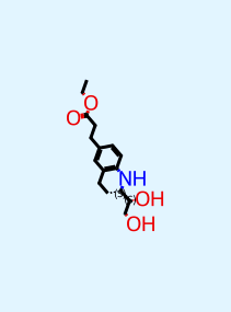 CCOC(=O)CCc1ccc2c(c1)CC[C@@H]([C@H](O)CO)N2